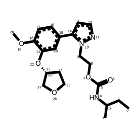 CCC(C)NC(=O)OCCn1nccc1-c1ccc(OC)c(O[C@@H]2CCOC2)c1